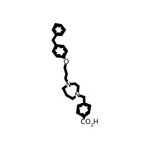 O=C(O)c1ccc(CN2CCCN(CCCOc3ccc(Cc4ccccc4)cc3)CC2)cc1